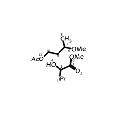 COC(=O)C(O)C(C)C.COC(C)CCOC(C)=O